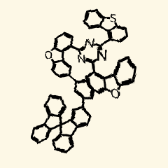 c1cc(-c2ccc3c(c2)C2(c4ccccc4-c4ccccc42)c2ccccc2-3)cc(-c2ccc3oc4cccc(-c5nc(-c6cccc7oc8ccccc8c67)nc(-c6cccc7sc8ccccc8c67)n5)c4c3c2)c1